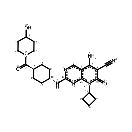 N#Cc1c(N)c2cnc(N[C@H]3CC[C@H](C(=O)N4CCC(O)CC4)CC3)nc2n(C2CCC2)c1=O